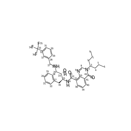 CCCC(CCC)n1cnc2c(C(=O)N[C@@H](Cc3ccccc3)[C@@H](O)CNCc3cccc(C(F)(F)F)c3)cccc2c1=O